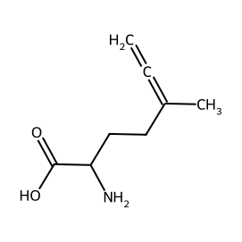 C=C=C(C)CCC(N)C(=O)O